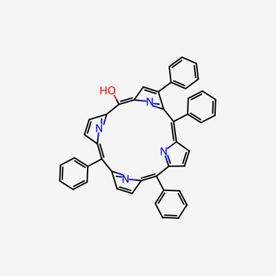 OC1=C2C=C(c3ccccc3)C(=N2)C(c2ccccc2)=C2C=CC(=N2)C(c2ccccc2)=C2C=CC(=N2)C(c2ccccc2)=C2C=CC1=N2